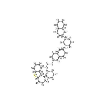 c1ccc(C(CCc2ccc3cc(-c4cccc(-c5ccc6ccccc6c5)c4)ccc3c2)c2cccc3sc4ccccc4c23)cc1